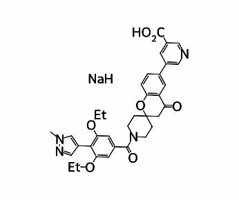 CCOc1cc(C(=O)N2CCC3(CC2)CC(=O)c2cc(-c4cncc(C(=O)O)c4)ccc2O3)cc(OCC)c1-c1cnn(C)c1.[NaH]